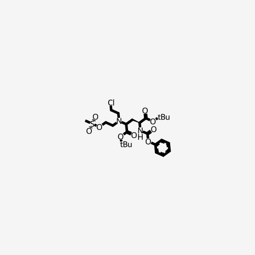 CC(C)(C)OC(=O)C(C[C@H](NC(=O)Oc1ccccc1)C(=O)OC(C)(C)C)N(CCCl)CCOS(C)(=O)=O